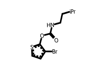 CC(C)CCNC(=O)Oc1sccc1Br